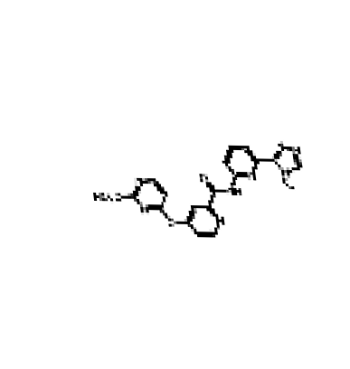 CC(C)n1cnnc1-c1cccc(NC(=O)c2cc(Oc3ccnc(C(=O)O)n3)ccn2)n1